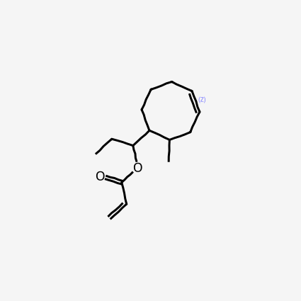 C=CC(=O)OC(CC)C1CCC/C=C\CC1C